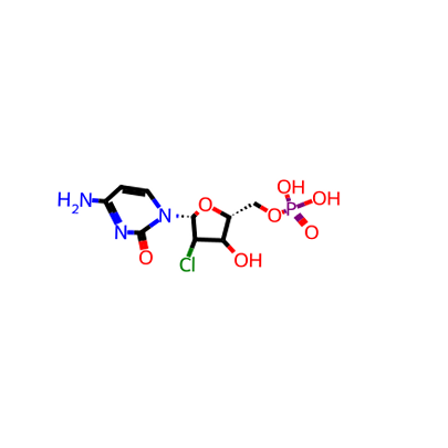 Nc1ccn([C@@H]2O[C@H](COP(=O)(O)O)C(O)C2Cl)c(=O)n1